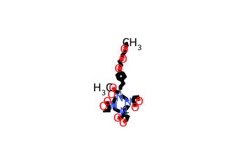 CCOCCOCCOc1ccc(CCC[C@@H](C(=O)OC)N2CCN(C3CCOC3=O)CCN(C3CCOC3=O)CCN(C3CCOC3=O)CC2)cc1